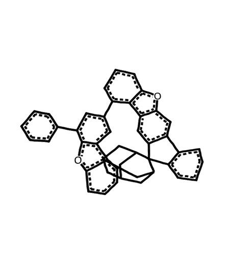 c1ccc(-c2cc(-c3cccc4oc5cc6c(cc5c34)C3(c4ccccc4-6)C4CC5CC(C4)CC3C5)cc3c2oc2ccccc23)cc1